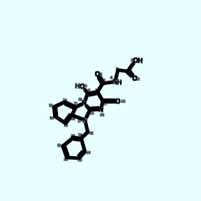 O=C(O)CNC(=O)c1c(O)n2c3ccccc3n(Cc3ccccc3)c2nc1=O